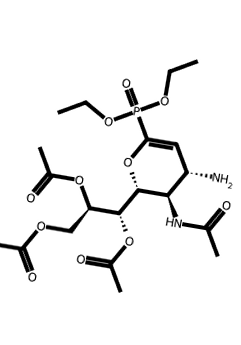 CCOP(=O)(OCC)C1=C[C@H](N)[C@@H](NC(C)=O)[C@H]([C@H](OC(C)=O)[C@@H](COC(C)=O)OC(C)=O)O1